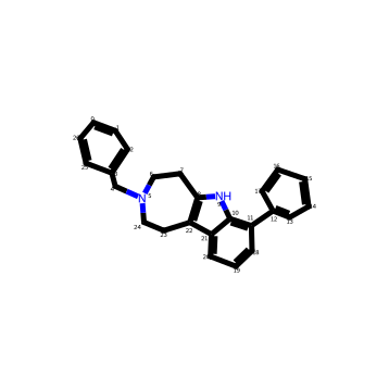 c1ccc(CN2CCc3[nH]c4c(-c5ccccc5)cccc4c3CC2)cc1